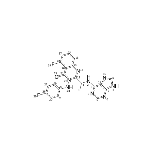 CC(Nc1ncnc2[nH]cnc12)c1nc2cccc(F)c2c(=O)n1Nc1ccc(F)cc1